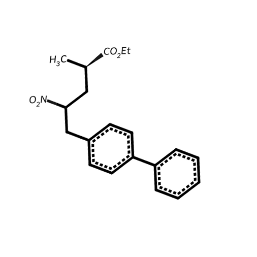 CCOC(=O)[C@H](C)CC(Cc1ccc(-c2ccccc2)cc1)[N+](=O)[O-]